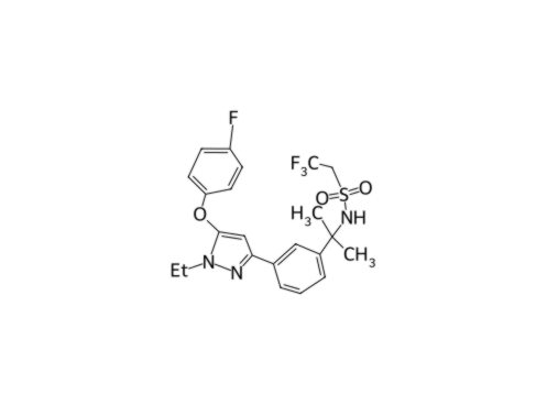 CCn1nc(-c2cccc(C(C)(C)NS(=O)(=O)CC(F)(F)F)c2)cc1Oc1ccc(F)cc1